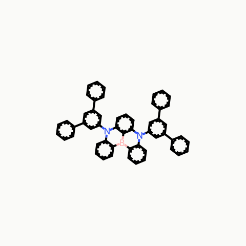 c1ccc(-c2cc(-c3ccccc3)cc(N3c4ccccc4B4c5ccccc5N(c5cc(-c6ccccc6)cc(-c6ccccc6)c5)c5cccc3c54)c2)cc1